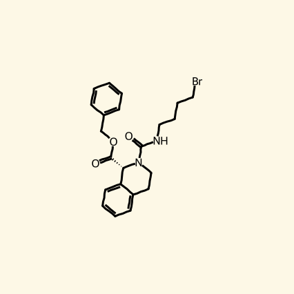 O=C(OCc1ccccc1)[C@H]1c2ccccc2CCN1C(=O)NCCCCBr